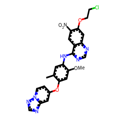 COc1cc(Oc2ccn3ncnc3c2)c(C)cc1Nc1ncnc2cc(OCCCl)c([N+](=O)[O-])cc12